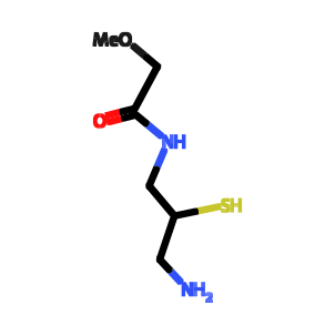 COCC(=O)NCC(S)CN